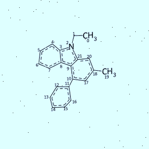 CCn1c2ccccc2c2c(-c3ccccc3)cc(C)cc21